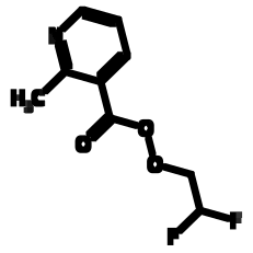 Cc1ncccc1C(=O)OOCC(F)F